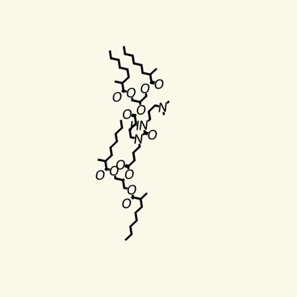 CCCCCCC(C)C(=O)OCC(COC(=O)C(C)CCCCCC)OC(=O)CCCN(CCCC(=O)OC(COC(=O)C(C)CCCCCC)COC(=O)C(C)CCCCCC)C(=O)NCCCN(C)C